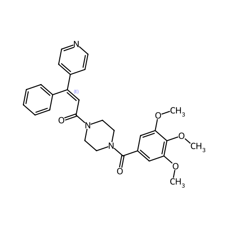 COc1cc(C(=O)N2CCN(C(=O)/C=C(\c3ccccc3)c3ccncc3)CC2)cc(OC)c1OC